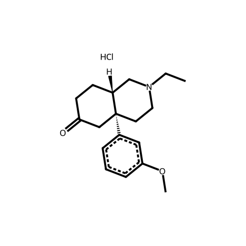 CCN1CC[C@@]2(c3cccc(OC)c3)CC(=O)CC[C@@H]2C1.Cl